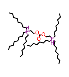 CCCCCCCC[PH](CCCCCCCC)(CCCCCCCC)CCOC(=O)OCC[PH](CCCCCCCC)(CCCCCCCC)CCCCCCCC